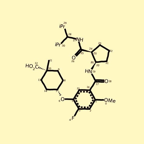 COc1cc(F)c(O[C@H]2CC[C@@](C)(C(=O)O)CC2)cc1C(=O)N[C@@H]1CCC[C@@H]1C(=O)NC(C(C)C)C(C)C